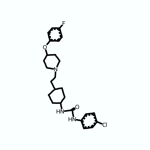 O=C(Nc1ccc(Cl)cc1)NC1CCC(CCN2CCC(Oc3ccc(F)cc3)CC2)CC1